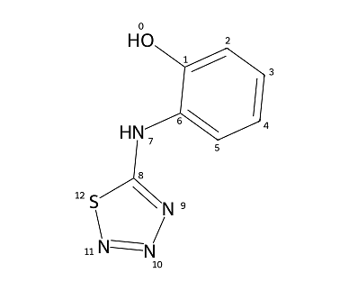 Oc1ccccc1Nc1nnns1